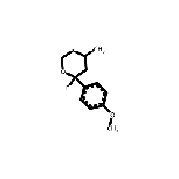 COc1ccc(C2(F)CC(C)CCO2)cc1